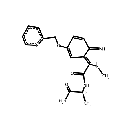 CN/C(C(=O)N[C@@H](C)C(N)=O)=C1/C=C(OCc2ccccn2)C=CC1=N